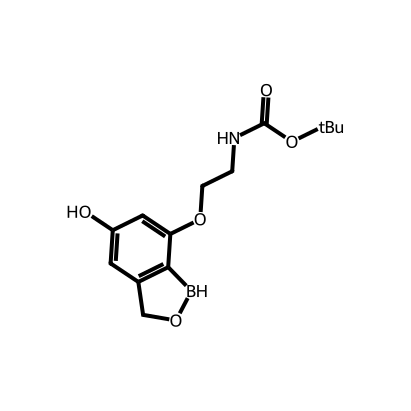 CC(C)(C)OC(=O)NCCOc1cc(O)cc2c1BOC2